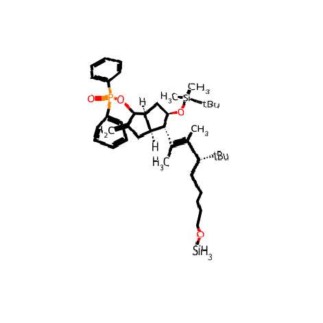 C=C1C[C@@H]2[C@@H](/C(C)=C(\C)[C@@H](CCCCCO[SiH3])C(C)(C)C)[C@H](O[Si](C)(C)C(C)(C)C)C[C@@H]2C1OP(=O)(c1ccccc1)c1ccccc1